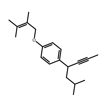 CC#CC(CC(C)C)c1ccc(OCC(C)=C(C)C)cc1